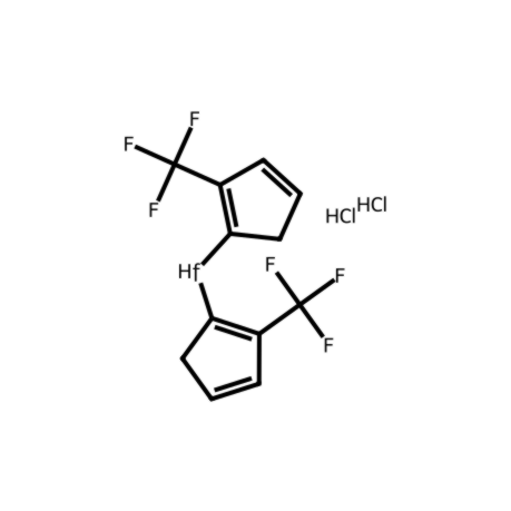 Cl.Cl.FC(F)(F)C1=[C]([Hf][C]2=C(C(F)(F)F)C=CC2)CC=C1